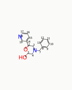 O=C(CN(CCO)Cc1ccccc1)c1cccnc1